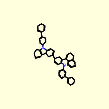 C1=CC(C2=CCC(N3C4=CC=C(C5C=CC(Nc6cccc(C7=CCCCC7)c6)=C(C6=CCCc7ccccc76)C5)CC4C4=C3CCC=C4)CC2)=CCC1